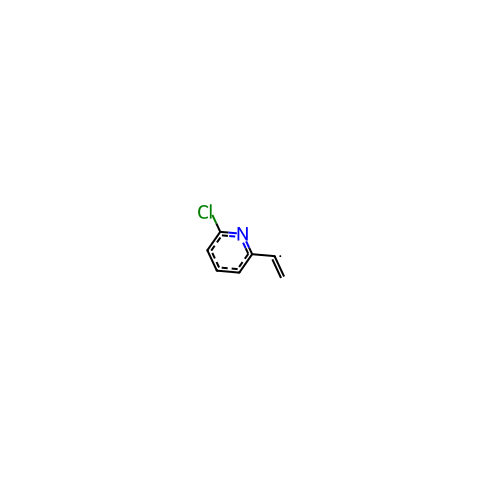 C=[C]c1cccc(Cl)n1